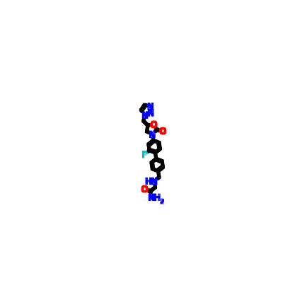 NC(=O)CNCc1ccc(-c2ccc(N3CC(Cn4ccnn4)OC3=O)cc2F)cc1